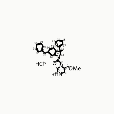 COC[C@H]1CN[C@H](C)CN1CC(=O)N1CC(C)(c2ccccn2)c2ccc(Cc3ccccc3)cc21.Cl